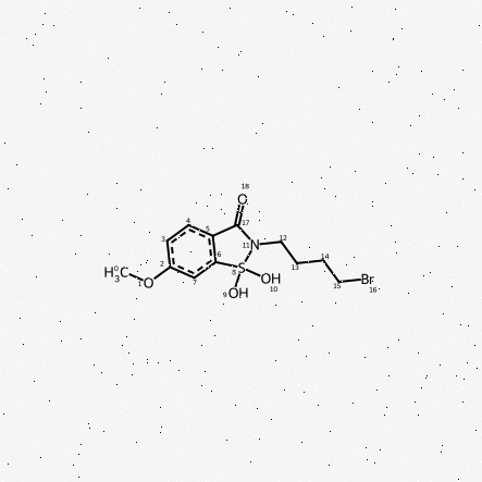 COc1ccc2c(c1)S(O)(O)N(CCCCBr)C2=O